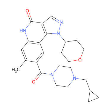 Cc1cc2[nH]c(=O)c3cnn(C4CCOCC4)c3c2cc1C(=O)N1CCN(CC2CC2)CC1